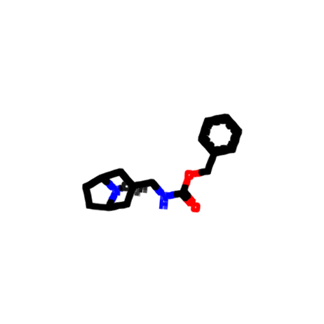 O=C(NCC1CC2CCC(C1)N2C(=O)O)OCc1ccccc1